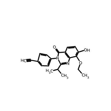 C#Cc1ccc(-n2c(C(C)C)nc3c(OCC)c(O)ccc3c2=O)cc1